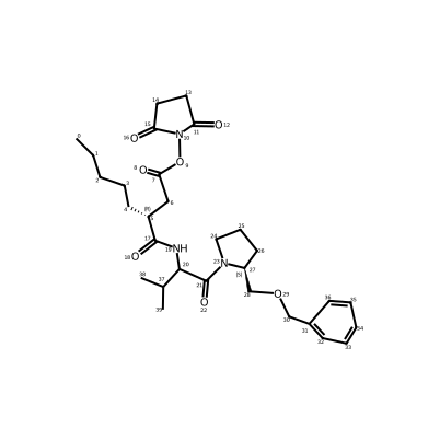 CCCCC[C@H](CC(=O)ON1C(=O)CCC1=O)C(=O)NC(C(=O)N1CCC[C@H]1COCc1ccccc1)C(C)C